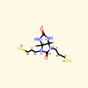 CC12NC(=O)NC1(C)N(CCCS)C(=O)N2CCCS